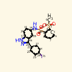 CS(=O)(=O)c1ccccc1S(=O)(=O)Nc1ccc2[nH]nc(-c3ccc(I)cc3)c2c1